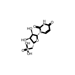 O=c1ccn([C@@H]2O[C@H](CP(=O)(O)O)[C@@H](O)[C@H]2O)c(=O)[nH]1